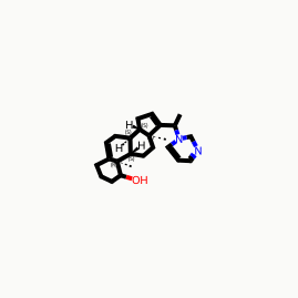 CC(C1=CC[C@H]2[C@@H]3CC=C4CCCC(O)[C@]4(C)[C@H]3CC[C@]12C)N1C=CC=NC1